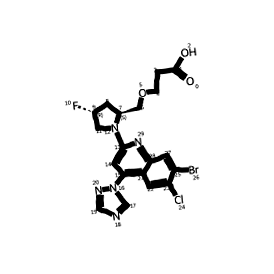 O=C(O)CCOC[C@@H]1C[C@@H](F)CN1c1cc(-n2cncn2)c2cc(Cl)c(Br)cc2n1